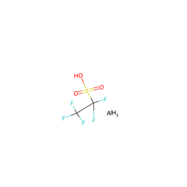 O=S(=O)(O)C(F)(F)C(F)(F)F.[AlH3]